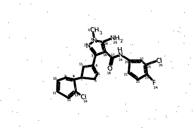 Cn1nc(C2=CCC(c3ccccc3Cl)C2)c(C(=O)Nc2ccc(F)c(Cl)c2)c1N